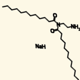 CCCCCCCCCCCC(=O)N(CCN)C(=O)CCCCCCCCCCC.[NaH]